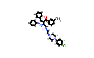 Cc1cccc(C(=O)c2c(CNCCN3CCN(c4ccc(Cl)cc4)CC3)nn(-c3ccccc3)c2-c2ccccc2)c1